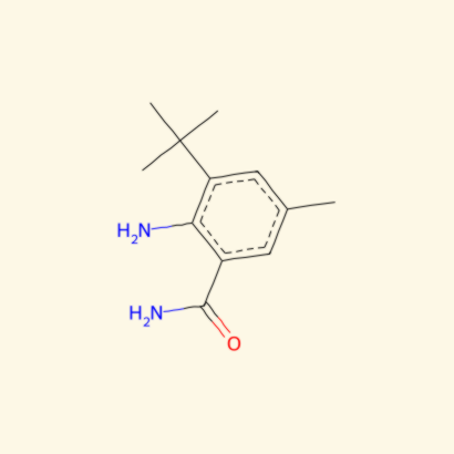 Cc1cc(C(N)=O)c(N)c(C(C)(C)C)c1